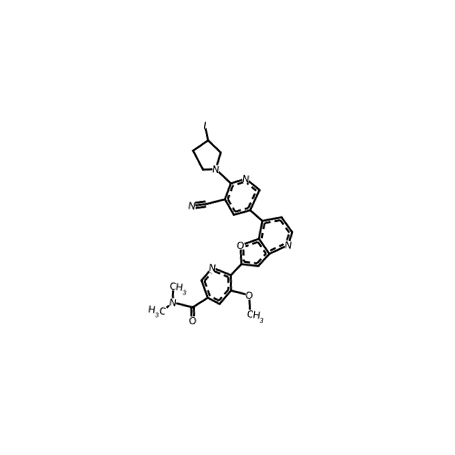 COc1cc(C(=O)N(C)C)cnc1-c1cc2nccc(-c3cnc(N4CCC(I)C4)c(C#N)c3)c2o1